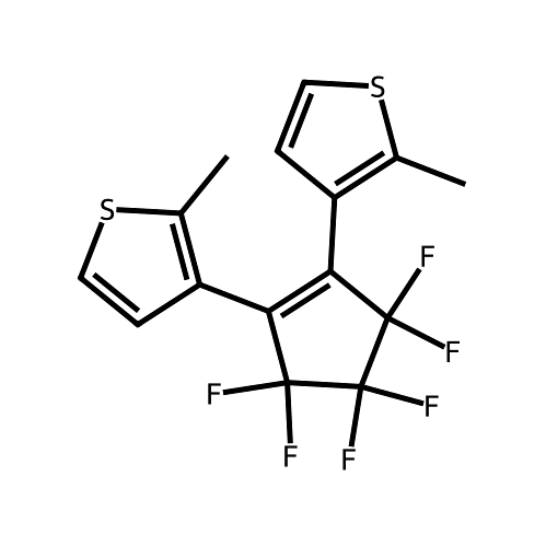 Cc1sccc1C1=C(c2ccsc2C)C(F)(F)C(F)(F)C1(F)F